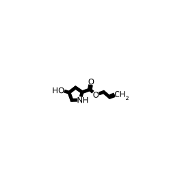 C=CCOC(=O)C1CC(O)CN1